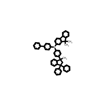 CC1(C)c2ccccc2-c2ccc(N(c3ccc(-c4ccccc4)cc3)c3ccc(C4(C)CC(c5ccccc5)(c5ccccc5)c5ccccc54)cc3)cc21